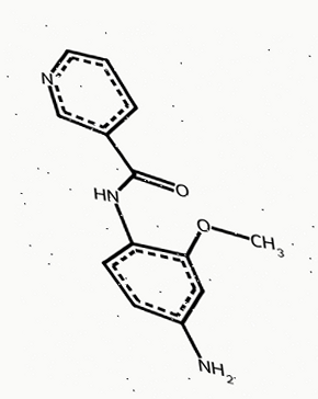 COc1cc(N)ccc1NC(=O)c1cccnc1